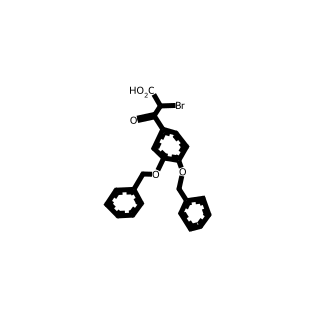 O=C(O)C(Br)C(=O)c1ccc(OCc2ccccc2)c(OCc2ccccc2)c1